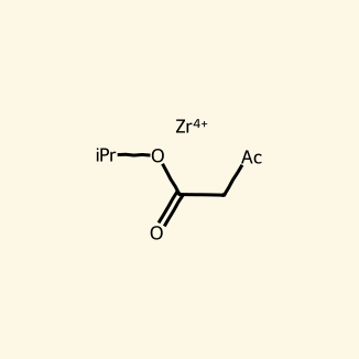 CC(=O)CC(=O)OC(C)C.[Zr+4]